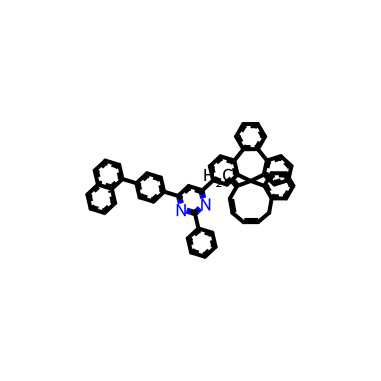 C=C1/C=C\C=C/Cc2ccccc2C12c1ccccc1-c1ccccc1-c1ccc(-c3cc(-c4ccc(-c5cccc6ccccc56)cc4)nc(-c4ccccc4)n3)cc12